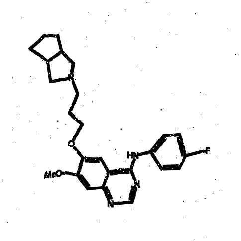 COc1cc2ncnc(Nc3ccc(F)cc3)c2cc1OCCCN1CC2CCCC2C1